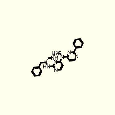 CC(C)NC[C@@H](Cc1ccccc1)Nc1nccc(N(C)c2ccnc(-c3ccccc3)n2)n1